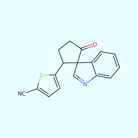 N#Cc1ccc(C2CCC(=O)C23C=Nc2ccccc23)s1